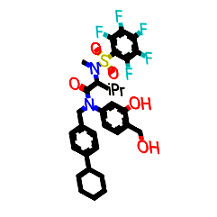 CC(C)C(C(=O)N(Cc1ccc(C2CCCCC2)cc1)c1ccc(CO)c(O)c1)N(C)S(=O)(=O)c1c(F)c(F)c(F)c(F)c1F